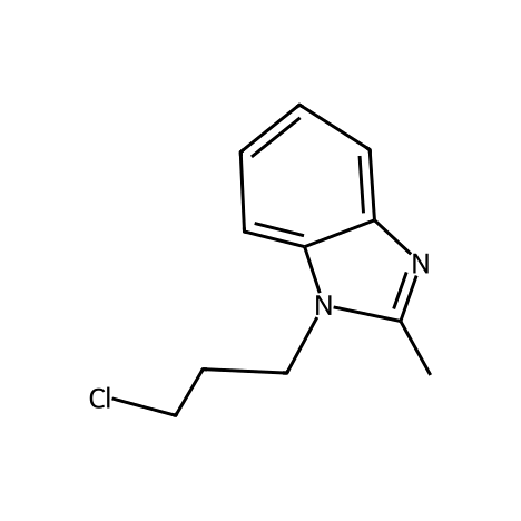 Cc1nc2ccccc2n1CCCCl